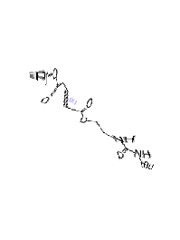 CC(C)OC(=O)/C=C/C(=O)OCCNC(=O)NC(C)(C)C